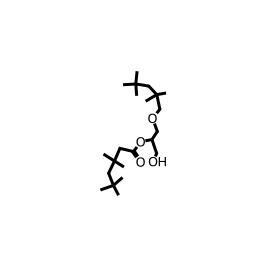 CC(C)(C)CC(C)(C)COCC(CO)OC(=O)CC(C)(C)CC(C)(C)C